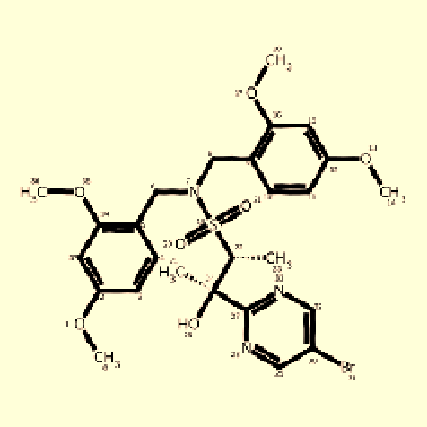 COc1ccc(CN(Cc2ccc(OC)cc2OC)S(=O)(=O)[C@H](C)[C@](C)(O)c2ncc(Br)cn2)c(OC)c1